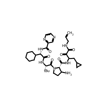 C=CCNC(=O)C(=O)C(CC1CC1)NC(=O)[C@@H]1C(N)CCN1C(=O)[C@@H](NC(=O)[C@@H](NC(=O)c1cnccn1)C1CCCCC1)C(C)(C)C